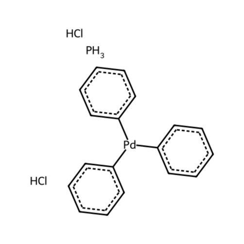 Cl.Cl.P.c1cc[c]([Pd]([c]2ccccc2)[c]2ccccc2)cc1